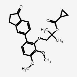 COc1ccc(-c2ccc3c(c2)CCC3=O)c(OCC(C)(C)OC(=O)C2CC2)c1OC